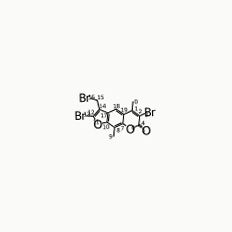 Cc1c(Br)c(=O)oc2c(C)c3oc(Br)c(CBr)c3cc12